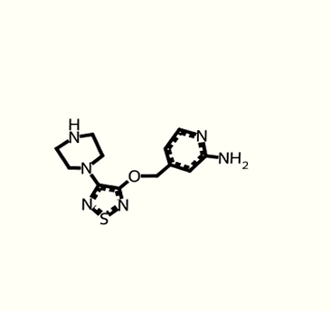 Nc1cc(COc2nsnc2N2CCNCC2)ccn1